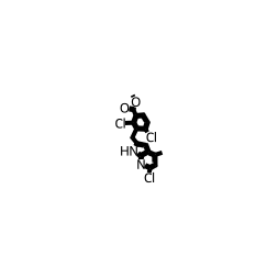 COC(=O)c1ccc(Cl)c(Cc2cc3c(C)cc(Cl)nc3[nH]2)c1Cl